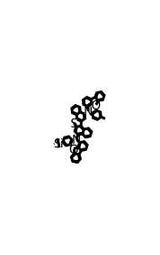 Cc1ccc(N(c2cc3c(sc4cc(N(c5ccc([Si](C)(C)C)cc5)c5cccc6c5oc5ccccc56)c5ccccc5c43)c3ccccc23)c2cccc3c2oc2ccccc23)cc1